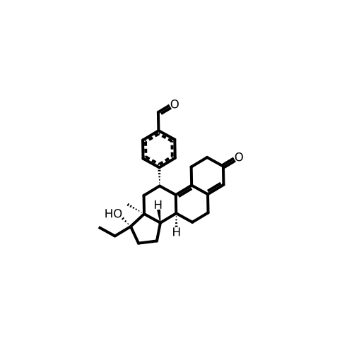 CC[C@]1(O)CC[C@H]2[C@@H]3CCC4=CC(=O)CCC4=C3[C@@H](c3ccc(C=O)cc3)C[C@@]21C